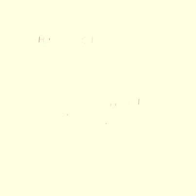 COC1(C(C=O)CCCCC(C)C)C=CCC=C1